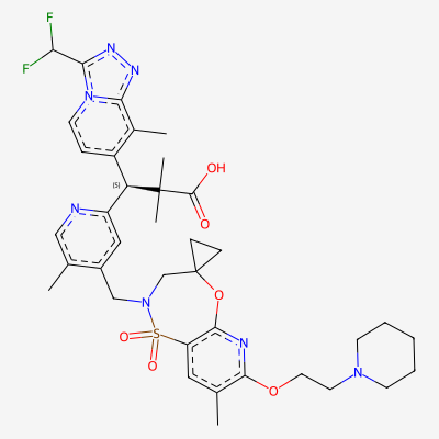 Cc1cnc([C@@H](c2ccn3c(C(F)F)nnc3c2C)C(C)(C)C(=O)O)cc1CN1CC2(CC2)Oc2nc(OCCN3CCCCC3)c(C)cc2S1(=O)=O